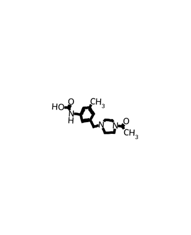 CC(=O)N1CCN(Cc2cc(C)cc(NC(=O)O)c2)CC1